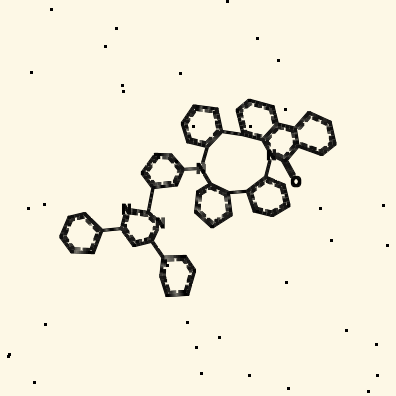 O=c1c2ccccc2c2cccc3c2n1-c1ccccc1-c1ccccc1N(c1cccc(-c2nc(-c4ccccc4)cc(-c4ccccc4)n2)c1)c1ccccc1-3